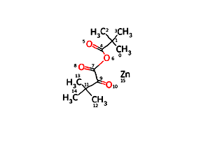 CC(C)(C)C(=O)OC(=O)C(=O)C(C)(C)C.[Zn]